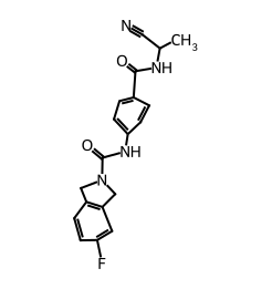 CC(C#N)NC(=O)c1ccc(NC(=O)N2Cc3ccc(F)cc3C2)cc1